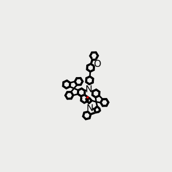 c1ccc2c(c1)-c1ccccc1C21c2ccccc2-c2c1cc(N(c1ccc(-c3ccc4c(c3)oc3ccccc34)cc1)c1ccc3c(c1)C1(c4ccccc4-3)c3ccccc3-n3c4ccccc4c4cccc1c43)c1ccccc21